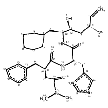 C=C[C@@H](C[C@H](O)[C@H](CC1CCCCC1)NC(=O)[C@H](Cc1c[nH]cn1)NC(=O)[C@@H](CC(=O)N(C)C)Cc1ccccc1)C(C)C